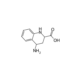 NC1CC(C(=O)O)Nc2ccccc21